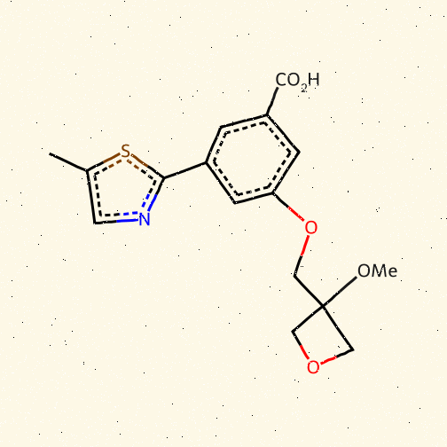 COC1(COc2cc(C(=O)O)cc(-c3ncc(C)s3)c2)COC1